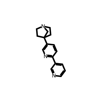 c1cncc(-c2ccc(C34CCN(CC3)C4)cn2)c1